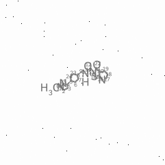 Cn1ccc(-c2ccc(CNC(=O)n3sc4ncccc4c3=O)cc2)n1